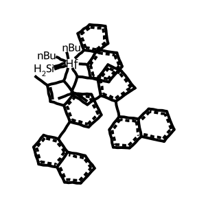 CCC[CH2][Hf](=[SiH2])([CH2]CCC)([c]1ccccc1)([c]1ccccc1)([CH]1C(C)=Cc2c(-c3cccc4ccccc34)cccc21)[CH]1C(C)=Cc2c(-c3cccc4ccccc34)cccc21